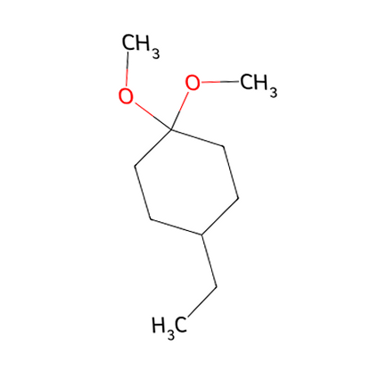 CCC1CCC(OC)(OC)CC1